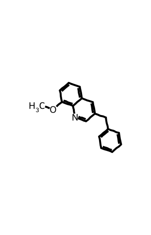 COc1cccc2cc(Cc3ccccc3)cnc12